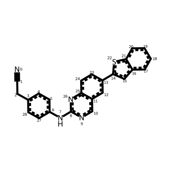 N#CCc1ccc(Nc2ncc3cc(-c4cc5ccccc5s4)ccc3n2)cc1